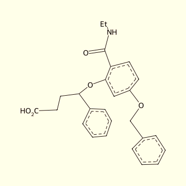 CCNC(=O)c1ccc(OCc2ccccc2)cc1OC(CCC(=O)O)c1ccccc1